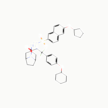 NC1CC2CCC(C1)N2C(=O)[C@H](NS(=O)(=O)c1ccc2cc(OC3CCCC3)ccc2c1)C(F)(F)c1ccc(OC2CCCCC2)cc1